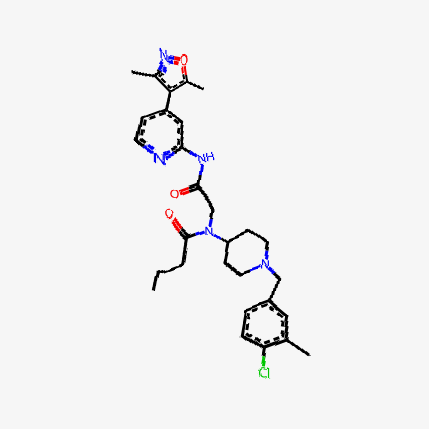 CCCC(=O)N(CC(=O)Nc1cc(-c2c(C)noc2C)ccn1)C1CCN(Cc2ccc(Cl)c(C)c2)CC1